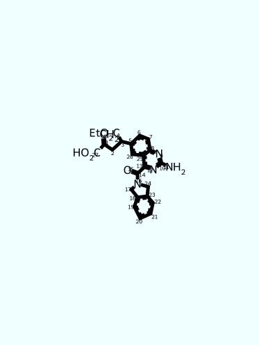 C=C(CC(C(=O)OCC)c1ccc2nc(N)nc(C(=O)N3Cc4ccccc4C3)c2c1)C(=O)O